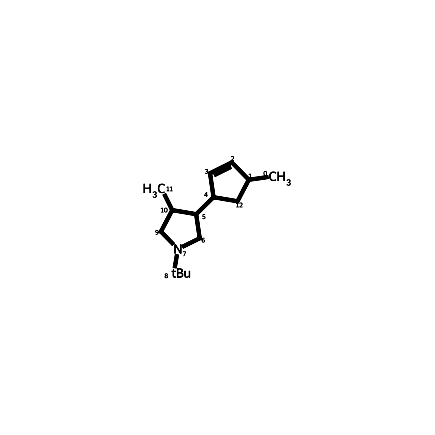 CC1C=CC(C2CN(C(C)(C)C)CC2C)C1